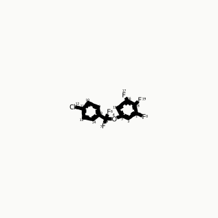 Fc1cc(OC(F)(F)c2ccc(Cl)cc2)cc(F)c1F